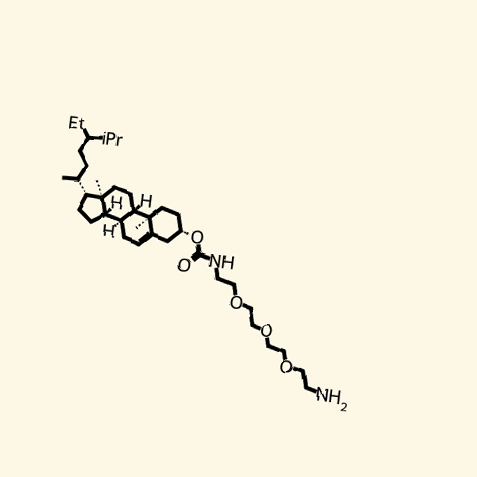 CCC(CCC(C)[C@H]1CC[C@H]2[C@@H]3CC=C4C[C@@H](OC(=O)NCCOCCOCCOCCN)CC[C@]4(C)[C@H]3CC[C@]12C)C(C)C